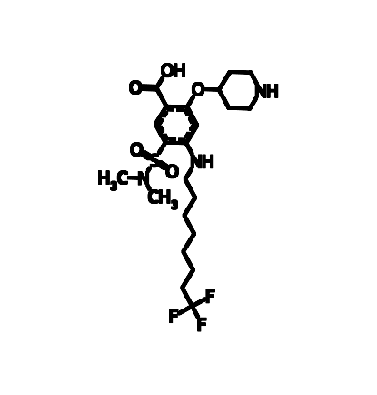 CN(C)S(=O)(=O)c1cc(C(=O)O)c(OC2CCNCC2)cc1NCCCCCCCC(F)(F)F